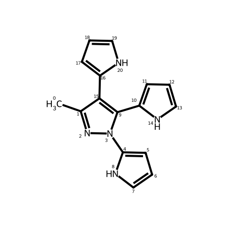 Cc1nn(-c2ccc[nH]2)c(-c2ccc[nH]2)c1-c1ccc[nH]1